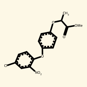 COC(=O)C(C)Oc1ccc(Oc2ccc(Cl)cc2[N+](=O)[O-])cc1